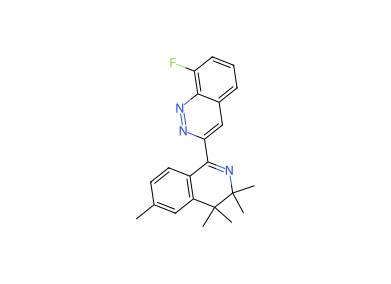 Cc1ccc2c(c1)C(C)(C)C(C)(C)N=C2c1cc2cccc(F)c2nn1